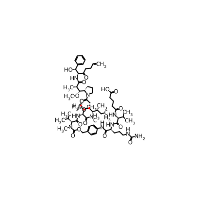 C=CCCC(=O)[C@@H](NC(=O)[C@H](C)[C@@H](OC)[C@@H]1CCCN1C(=O)C[C@@H](OC)[C@H]([C@@H](C)CC)N(C)C(=O)[C@@H](NC(=O)[C@H](C(C)C)N(C)C(=O)OCc1ccc(NC(=O)[C@H](CCCNC(N)=O)NC(=O)[C@@H](NC(=O)CCCC(=O)O)C(C)C)cc1)C(C)C)[C@@H](O)c1ccccc1